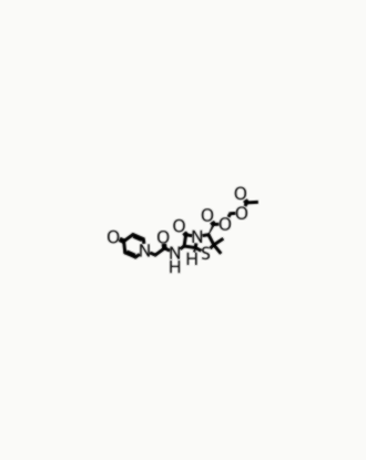 CC(=O)OCOC(=O)[C@@H]1N2C(=O)C(NC(=O)Cn3ccc(=O)cc3)[C@H]2SC1(C)C